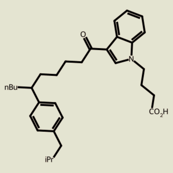 CCCCC(CCCCC(=O)c1cn(CCCC(=O)O)c2ccccc12)c1ccc(CC(C)C)cc1